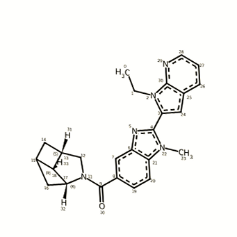 CCn1c(-c2nc3cc(C(=O)N4C[C@H]5CC6C[C@@H]4[C@H]65)ccc3n2C)cc2cccnc21